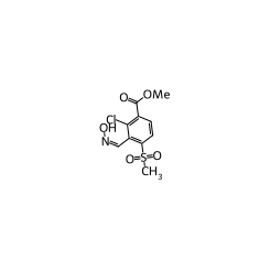 COC(=O)c1ccc(S(C)(=O)=O)c(/C=N\O)c1Cl